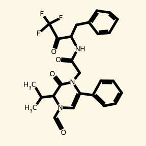 CC(C)C1C(=O)N(CC(=O)NC(Cc2ccccc2)C(=O)C(F)(F)F)C(c2ccccc2)=CN1C=O